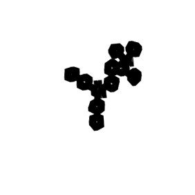 c1ccc(-c2ccc(-c3cc(-c4ccc(-c5ccccc5)cc4)nc(-c4cccc(-c5cccc6c5cc(-c5ccccc5)n5nc(-c7ccccc7)c(-c7ccccc7)c65)c4)n3)cc2)cc1